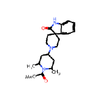 COC(=O)N1C(C)CC(N2CCC3(CC2)C(=O)Nc2ccccc23)CC1C